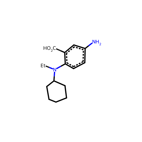 CCN(c1ccc(N)cc1C(=O)O)C1CCCCC1